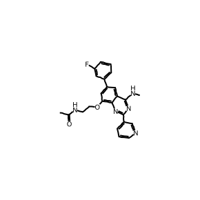 CNc1nc(-c2cccnc2)nc2c(OCCNC(C)=O)cc(-c3cccc(F)c3)cc12